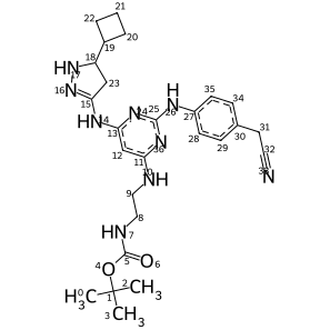 CC(C)(C)OC(=O)NCCNc1cc(NC2=NNC(C3CCC3)C2)nc(Nc2ccc(CC#N)cc2)n1